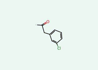 [CH2]C(=O)Cc1cccc(Cl)c1